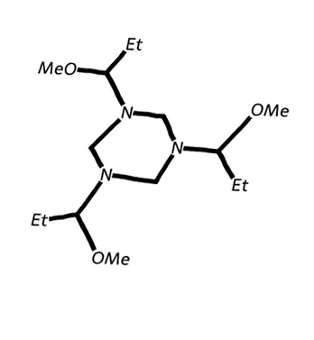 CCC(OC)N1CN(C(CC)OC)CN(C(CC)OC)C1